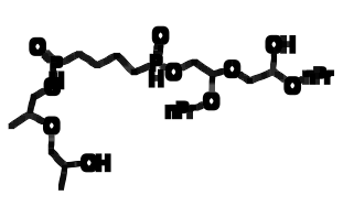 CCCOC(O)COC(CO[PH](=O)CCCC[PH](=O)OCC(C)OCC(C)O)OCCC